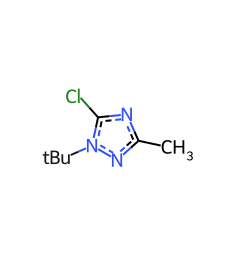 Cc1nc(Cl)n(C(C)(C)C)n1